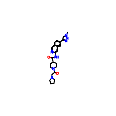 Cn1cc(-c2ccc3cnc(NC(=O)C4CCN(C(=O)CN5CCCC5)CC4)cc3c2)nn1